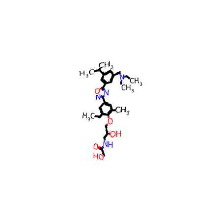 CCc1cc(-c2noc(-c3cc(CN(CC)CC)cc(C(C)C)c3)n2)cc(C)c1OC[C@@H](O)CNC(=O)CO